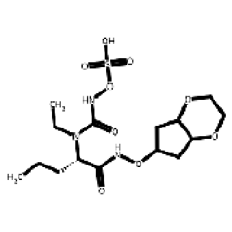 CCC[C@@H](C(=O)NOC1CC2OCCOC2C1)N(CC)C(=O)NOS(=O)(=O)O